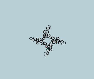 CCC1(OCCOC(=O)c2ccc(C3c4cc(c(OC)cc4O)C(c4ccc(C(=O)OCCOC5(CC)CCCCC5)cc4)c4cc(c(OC)cc4O)C(c4ccc(C(=O)OCCOC5(CC)CCCCC5)cc4)c4cc(c(OC)cc4O)C(c4ccc(C(=O)OCCOC5(CC)CCCCC5)cc4)c4cc3c(OC)cc4O)cc2)CCCCC1